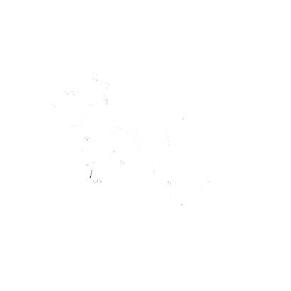 CO[C@H]1CN(c2cncc3[nH]nc(C)c23)C[C@@H]1Nc1c(C(=O)N2C[C@@H](C)O[C@@H](C)C2)cc(Br)cc1[N+](=O)[O-]